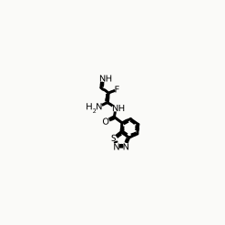 N=C/C(F)=C(\N)NC(=O)c1cccc2nnsc12